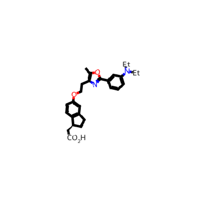 CCN(CC)c1cccc(-c2nc(CCOc3ccc4c(c3)CC[C@H]4CC(=O)O)c(C)o2)c1